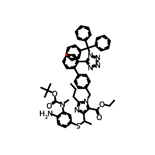 CCCc1nc(C(C)Sc2ccc(N)c(N(C)C(=O)OC(C)(C)C)c2)c(C(=O)OCC)n1Cc1ccc(-c2ccccc2-c2nnnn2C(c2ccccc2)(c2ccccc2)c2ccccc2)cc1